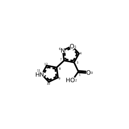 O=C(O)c1conc1-c1cc[nH]c1